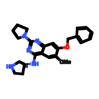 COc1cc2c(N[C@@H]3CCNC3)nc(N3CCCC3)nc2cc1OCc1ccccc1